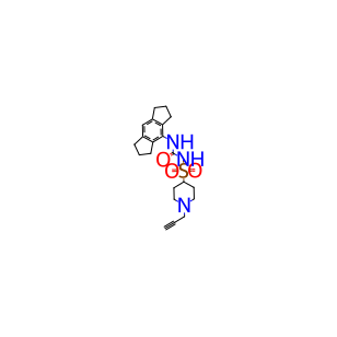 C#CCN1CCC(S(=O)(=O)NC(=O)Nc2c3c(cc4c2CCC4)CCC3)CC1